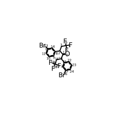 O=C(C(CC(F)(F)F)c1cccc(Br)c1)C(CC(F)(F)F)c1cccc(Br)c1